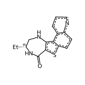 CC[C@@H]1CNc2c(sc3ccc4ncccc4c23)C(=O)N1